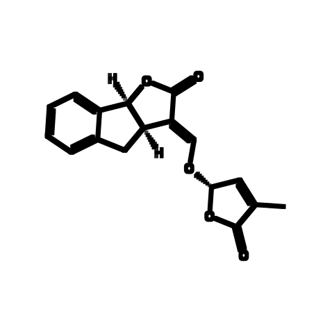 CC1=C[C@@H](O/C=C2/C(=O)O[C@@H]3c4ccccc4C[C@H]23)OC1=O